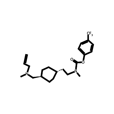 C=CCN(C)C[C@H]1CC[C@H](CCN(C)C(=O)Oc2ccc(C(F)(F)F)cc2)CC1